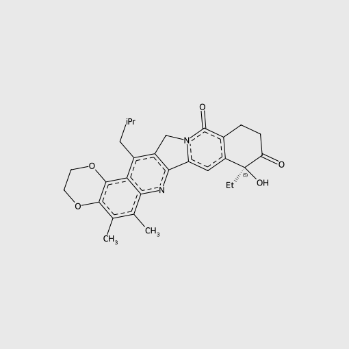 CC[C@@]1(O)C(=O)CCc2c1cc1n(c2=O)Cc2c-1nc1c(C)c(C)c3c(c1c2CC(C)C)OCCO3